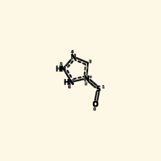 O=S=[n+]1cn[nH][nH]1